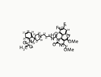 COCc1nc(=O)n(C(=O)NCCCN2CCC3(CC2)CN(S(C)(=O)=O)c2ccccc23)c(-c2ccc(F)c(F)c2)c1C(=O)OC